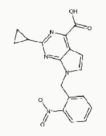 O=C(O)c1nc(C2CC2)nc2c1ccn2Cc1ccccc1[N+](=O)[O-]